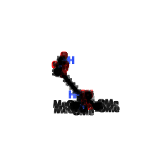 CC[C@H](C(=O)N1CCCC[C@H]1C(=O)O[C@H](CCc1ccc(OC)c(OC)c1)c1ccccc1OCC(O)NCCCCCCCCCCOc1cccc2c1C(=O)N(C1CCC(=O)NC1=O)C2=O)c1cc(OC)c(OC)c(OC)c1